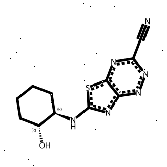 N#Cc1nnc2nc(N[C@@H]3CCCC[C@H]3O)sc2n1